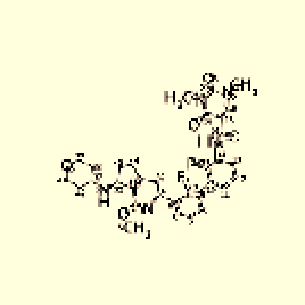 COc1nc(-c2cccc(-c3cccc(NC(=O)c4cn(C)c(=O)n(C)c4=O)c3F)c2F)cc2c1[C@@H](NC1CCOCC1)CC2